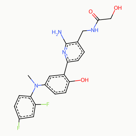 CN(c1ccc(O)c(-c2ccc(CNC(=O)CO)c(N)n2)c1)c1ccc(F)cc1F